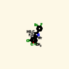 CC1CCCC([C@]2(C(C)C)N=C(c3ccc(F)c(Br)c3)[C@@H](C(=O)O)[C@]2(c2cc(Cl)c(Cl)c(Cl)c2)C(F)(F)F)C1